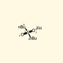 CCCCS(=O)(=O)CCCC.F